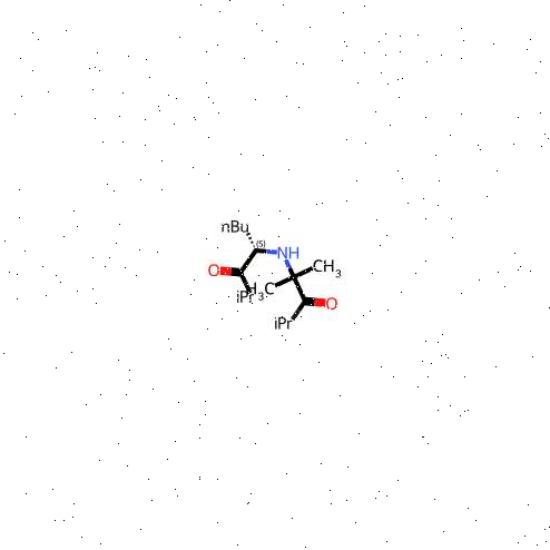 CCCC[C@H](NC(C)(C)C(=O)C(C)C)C(=O)C(C)C